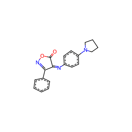 O=C1ON=C(c2ccccc2)C1=Nc1ccc(N2CCCC2)cc1